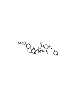 COc1ccc2c(c1)CCc1cnc(-n3cc(C(=O)N4CCN(CCCc5ccncc5)CC4)c(N)n3)nc1-2